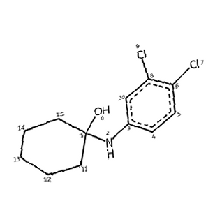 OC1(Nc2ccc(Cl)c(Cl)c2)C[CH]CCC1